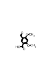 COc1cc(OC)c(C(=O)O)cc1C=O